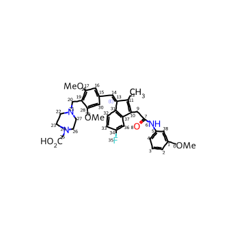 COc1cccc(NC(=O)CC2=C(C)/C(=C/c3cc(OC)c(CN4CCN(C(=O)O)CC4)c(OC)c3)c3ccc(F)cc32)c1